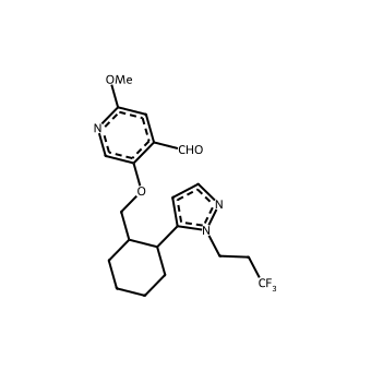 COc1cc(C=O)c(OCC2CCCCC2c2ccnn2CCC(F)(F)F)cn1